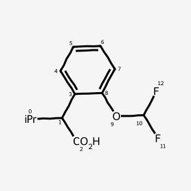 CC(C)C(C(=O)O)c1ccccc1OC(F)F